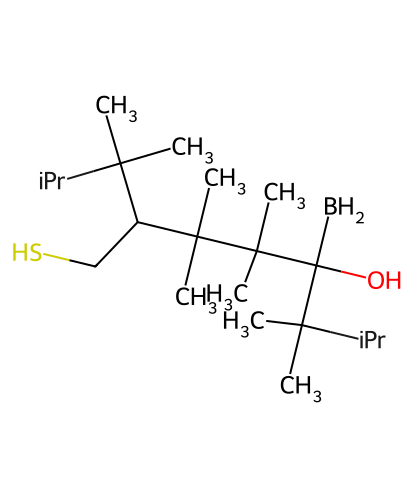 BC(O)(C(C)(C)C(C)C)C(C)(C)C(C)(C)C(CS)C(C)(C)C(C)C